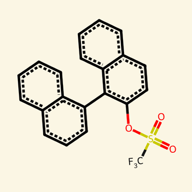 O=S(=O)(Oc1ccc2ccccc2c1-c1cccc2ccccc12)C(F)(F)F